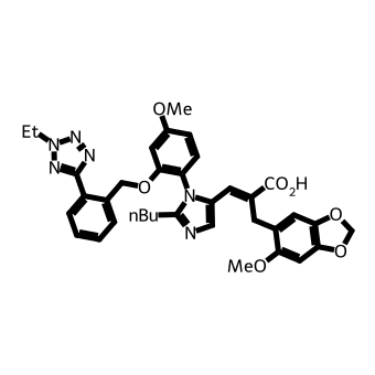 CCCCc1ncc(/C=C(\Cc2cc3c(cc2OC)OCO3)C(=O)O)n1-c1ccc(OC)cc1OCc1ccccc1-c1nnn(CC)n1